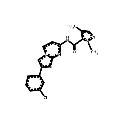 Cn1ncc(C(=O)O)c1C(=O)Nc1ccn2cc(-c3cccc(Cl)c3)nc2n1